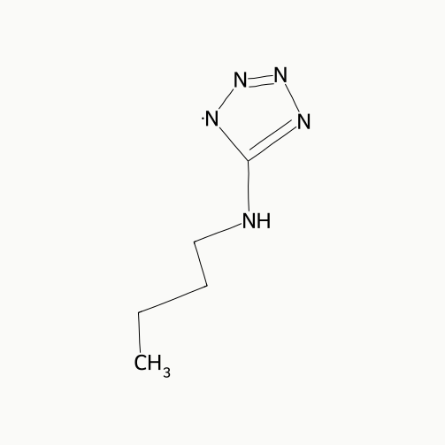 CCCCNC1=NN=N[N]1